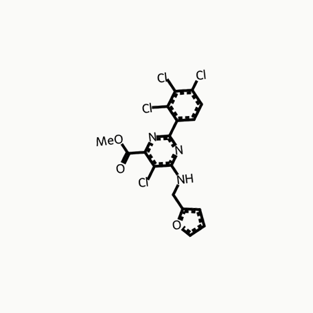 COC(=O)c1nc(-c2ccc(Cl)c(Cl)c2Cl)nc(NCc2ccco2)c1Cl